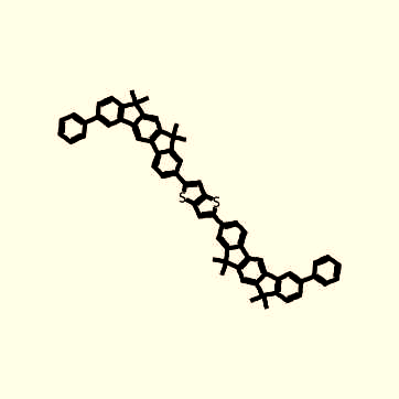 CC1(C)c2ccc(-c3ccccc3)cc2-c2cc3c(cc21)C(C)(C)c1cc(-c2cc4sc(-c5ccc6c(c5)C(C)(C)c5cc7c(cc5-6)-c5cc(-c6ccccc6)ccc5C7(C)C)cc4s2)ccc1-3